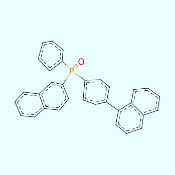 O=P(c1ccccc1)(c1ccc(-c2cccc3ccccc23)cc1)c1ccc2ccccc2c1